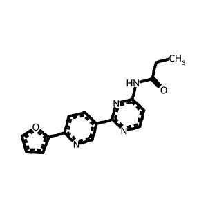 CCC(=O)Nc1ccnc(-c2ccc(-c3ccco3)nc2)n1